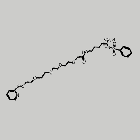 O=C(COCCOCCOCCOCCSSc1ccccn1)NCCCC[C@H](NS(=O)(=O)c1ccccc1)C(=O)O